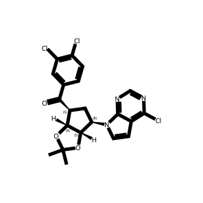 CC1(C)O[C@@H]2[C@H](O1)[C@@H](C(=O)c1ccc(Cl)c(Cl)c1)C[C@H]2n1ccc2c(Cl)ncnc21